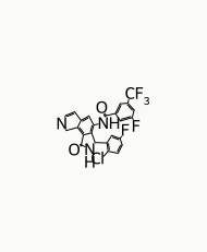 O=C(Nc1cc2ccncc2c2c1C(c1cc(F)ccc1Cl)NC2=O)c1cc(F)cc(C(F)(F)F)c1